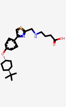 CC(C)(C)[C@H]1CC[C@H](Oc2ccc(-c3csc(CNCCCC(=O)O)n3)cc2)CC1